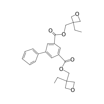 CCC1(COC(=O)c2cc(C(=O)OCC3(CC)COC3)cc(-c3ccccc3)c2)COC1